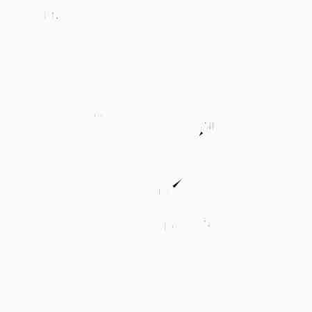 CC(C)[C@H](C(=O)c1cc2ccccc2n1C)[C@H](N)C(=O)OC(=O)CCC(N)=O